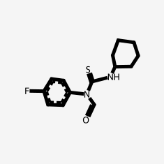 O=CN(C(=S)NC1CCCCC1)c1ccc(F)cc1